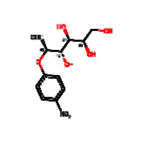 O=C[C@H](Oc1ccc([N+](=O)[O-])cc1)[C@@H](O)[C@@H](O)[C@H](O)CO